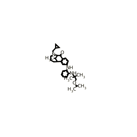 CC(C)OCC(C)(C)Nc1ccccc1Nc1ccc2c(c1)C1CCCN(CC3CC3)C(C2=O)C1C